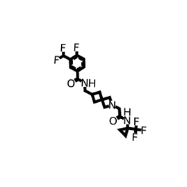 O=C(CN1CC2(CC(CNC(=O)c3ccc(F)c(C(F)F)c3)C2)C1)NC1(C(F)(F)F)CC1